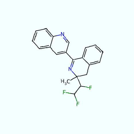 CC1(C(F)C(F)F)Cc2ccccc2C(c2cnc3ccccc3c2)=N1